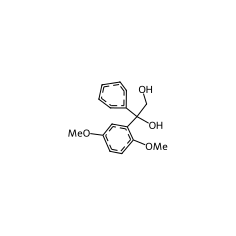 COc1ccc(OC)c(C(O)(CO)c2ccccc2)c1